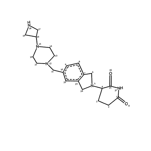 O=C1CCC(N2Cc3ccc(CN4CCN(C5CNC5)CC4)cc3C2)C(=O)N1